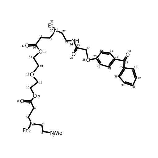 CCN(CCNC)CCC(=O)OCCOCCOC(=O)CCN(CC)CCNC(=O)COc1ccc(C(=O)c2ccccc2)cc1